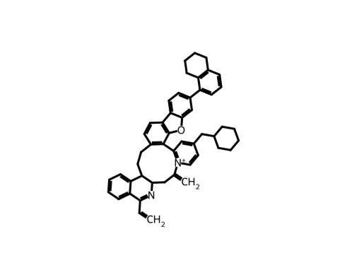 C=CC1=NC2CC(=C)[n+]3ccc(CC4CCCCC4)cc3-c3c(ccc4c3oc3cc(-c5cccc6c5CCCC6)ccc34)CCC2c2ccccc21